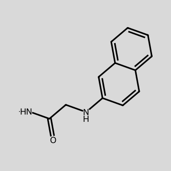 [NH]C(=O)CNc1ccc2ccccc2c1